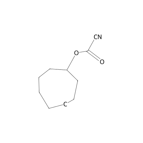 N#CC(=O)OC1CCCCCCC1